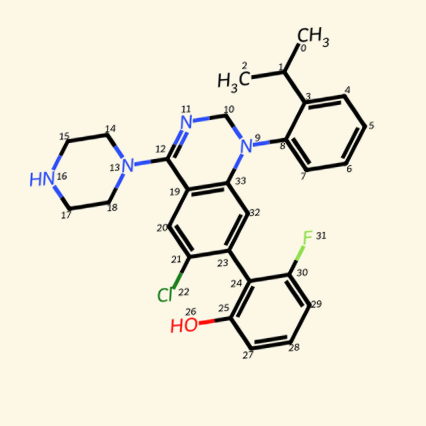 CC(C)c1ccccc1N1CN=C(N2CCNCC2)c2cc(Cl)c(-c3c(O)cccc3F)cc21